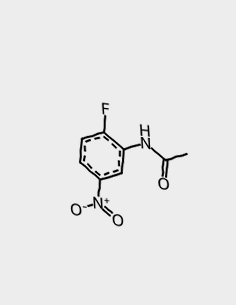 CC(=O)Nc1cc([N+](=O)[O-])ccc1F